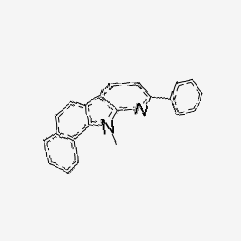 Cn1c2nc(-c3ccccc3)ccc2c2ccc3ccccc3c21